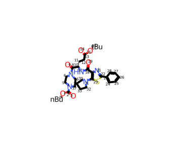 CCCCOC(=O)N1CCN(C(=O)[C@H](CCC(=O)OC(C)(C)C)NC(=O)c2nc(-c3ccccc3)sc2N2CCCC2)CC1